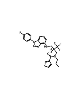 CCCN(CC(O)(CNc1cccc2c1cnn2-c1ccc(F)cc1)C(F)(F)F)C(=O)c1ccsc1